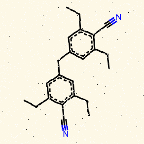 CCc1cc(Cc2cc(CC)c(C#N)c(CC)c2)cc(CC)c1C#N